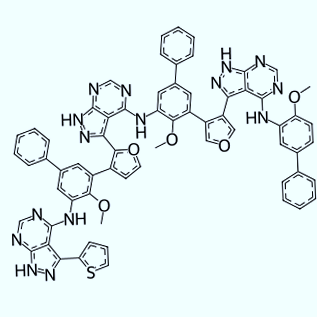 COc1ccc(-c2ccccc2)cc1Nc1ncnc2[nH]nc(-c3cocc3-c3cc(-c4ccccc4)cc(Nc4ncnc5[nH]nc(-c6occc6-c6cc(-c7ccccc7)cc(Nc7ncnc8[nH]nc(-c9cccs9)c78)c6OC)c45)c3OC)c12